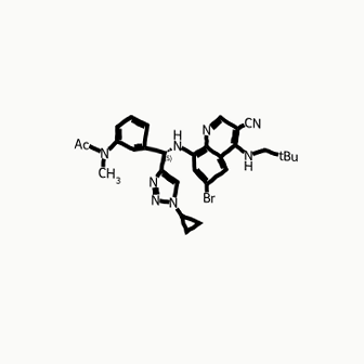 CC(=O)N(C)c1cccc([C@H](Nc2cc(Br)cc3c(NCC(C)(C)C)c(C#N)cnc23)c2cn(C3CC3)nn2)c1